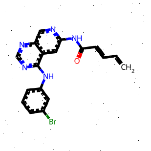 C=CC=CC(=O)Nc1cc2c(Nc3cccc(Br)c3)ncnc2cn1